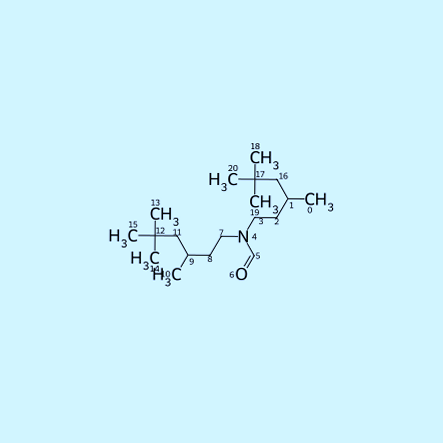 CC(CCN(C=O)CCC(C)CC(C)(C)C)CC(C)(C)C